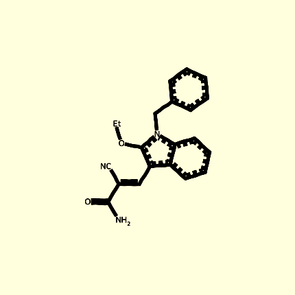 CCOc1c(C=C(C#N)C(N)=O)c2ccccc2n1Cc1ccccc1